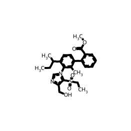 CCC(C)c1ccc(-c2ccccc2C(=O)OC)c(C)c1-n1cnc(CO)c1S(=O)(=O)CC